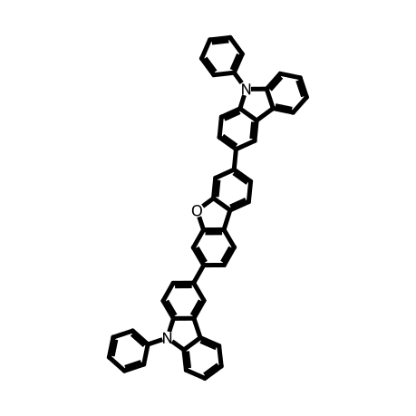 c1ccc(-n2c3ccccc3c3cc(-c4ccc5c(c4)oc4cc(-c6ccc7c(c6)c6ccccc6n7-c6ccccc6)ccc45)ccc32)cc1